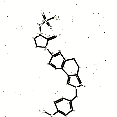 COc1ccc(Cn2cc3c(n2)CCc2cc(N4CC[C@@H](OS(C)(=O)=O)C4=O)ccc2-3)cc1